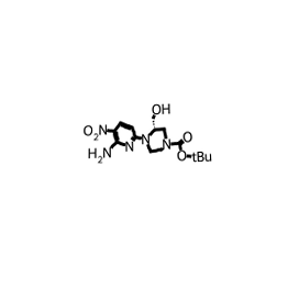 CC(C)(C)OC(=O)N1CCN(c2ccc([N+](=O)[O-])c(N)n2)[C@H](CO)C1